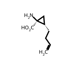 C=CCC[C@H]1C[C@@]1(N)C(=O)O